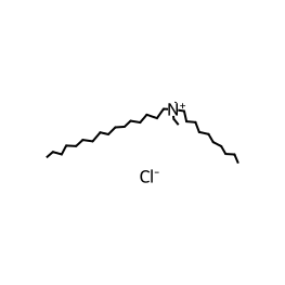 CCCCCCCCCCCCCCCC[N+](C)(CC)CCCCCCCCCC.[Cl-]